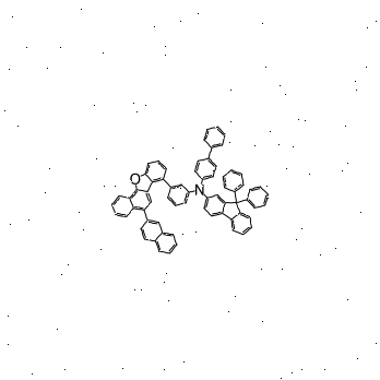 c1ccc(-c2ccc(N(c3cccc(-c4cccc5oc6c7ccccc7c(-c7ccc8ccccc8c7)cc6c45)c3)c3ccc4c(c3)C(c3ccccc3)(c3ccccc3)c3ccccc3-4)cc2)cc1